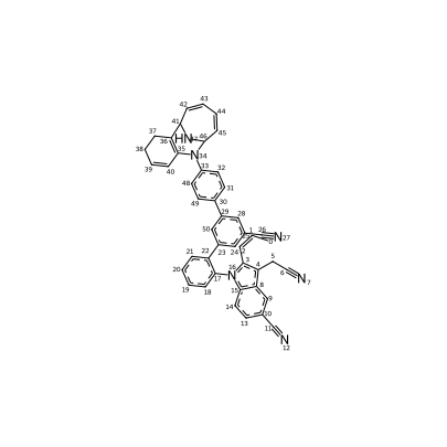 C/C=C\c1c(CC#N)c2cc(C#N)ccc2n1-c1ccccc1-c1cc(C#N)cc(-c2ccc(N3C4=C(CCC=C4)C4C=CC=CC3N4)cc2)c1